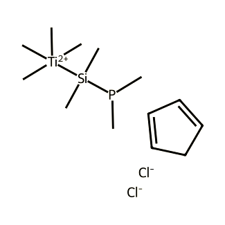 C1=CCC=C1.CP(C)[Si](C)(C)[Ti+2]([CH3])([CH3])([CH3])[CH3].[Cl-].[Cl-]